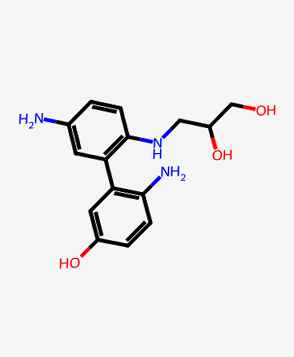 Nc1ccc(NCC(O)CO)c(-c2cc(O)ccc2N)c1